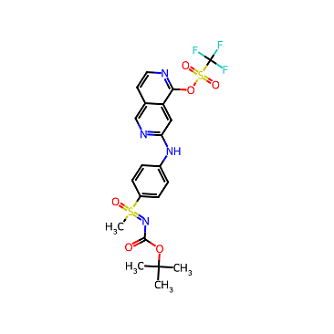 CC(C)(C)OC(=O)N=S(C)(=O)c1ccc(Nc2cc3c(OS(=O)(=O)C(F)(F)F)nccc3cn2)cc1